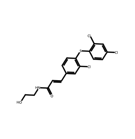 O=C(C=Cc1ccc(Sc2ccc(Cl)cc2Cl)c(Cl)c1)NCCO